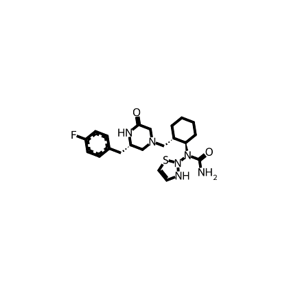 NC(=O)N([C@@H]1CCCC[C@H]1CN1CC(=O)N[C@@H](Cc2ccc(F)cc2)C1)N1NC=CS1